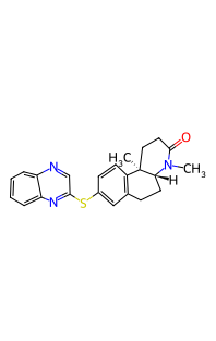 CN1C(=O)CC[C@]2(C)c3ccc(Sc4cnc5ccccc5n4)cc3CC[C@@H]12